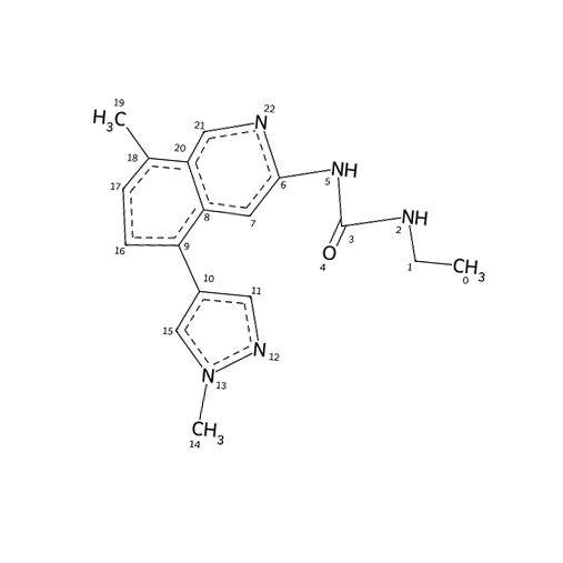 CCNC(=O)Nc1cc2c(-c3cnn(C)c3)ccc(C)c2cn1